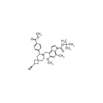 COC(=O)c1ccc([C@@H]2CC3(CCN2Cc2c(OC)cc(C)c4c2ccn4C(=O)OC(C)(C)C)CC(C#N)C3)cc1